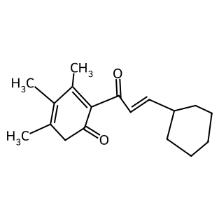 CC1=C(C)C(C)=C(C(=O)/C=C/C2CCCCC2)C(=O)C1